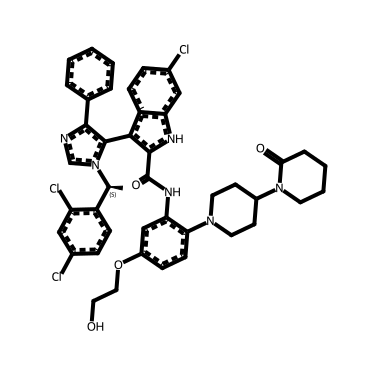 C[C@@H](c1ccc(Cl)cc1Cl)n1cnc(-c2ccccc2)c1-c1c(C(=O)Nc2cc(OCCO)ccc2N2CCC(N3CCCCC3=O)CC2)[nH]c2cc(Cl)ccc12